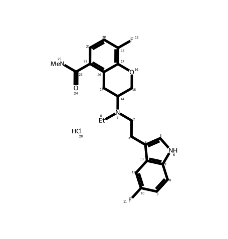 CCN(CCc1c[nH]c2ccc(F)cc12)C1COc2c(F)ccc(C(=O)NC)c2C1.Cl